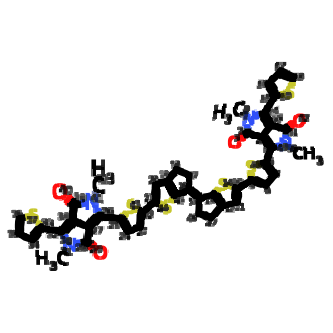 CN1C(=O)C2=C(c3ccc(-c4cc5c(s4)/C(=C4\CCc6cc(-c7ccc(C8=C9C(=O)N(C)C(c%10cccs%10)=C9C(=O)N8C)s7)sc64)CC5)s3)N(C)C(=O)C2=C1c1cccs1